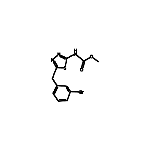 COC(=O)Nc1nnc(Cc2cccc(Br)c2)s1